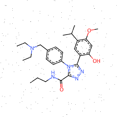 CCCNC(=O)c1nnc(-c2cc(C(C)C)c(OC)cc2O)n1-c1ccc(CN(CC)CC)cc1